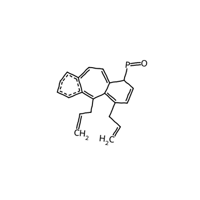 C=CCC1=C2C(=CC=c3ccccc3=C2CC=C)C(P=O)C=C1